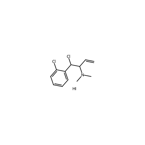 C=CC(C(Cl)c1ccccc1Cl)N(C)C.I